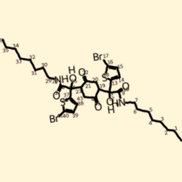 CCCCCCCCNC(=O)C(O)(c1ccc(Br)s1)C1CC(=O)C(C(O)(C(=O)NCCCCCCCC)c2ccc(Br)s2)CC1=O